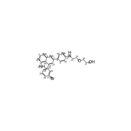 Nc1ncnc2nc(-c3ccc(NCCOCCO)nc3)cc(-c3cccc(Br)c3)c12